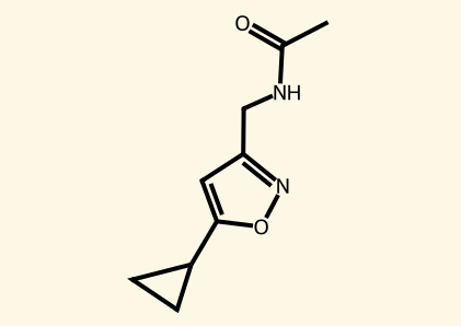 CC(=O)NCc1cc(C2CC2)on1